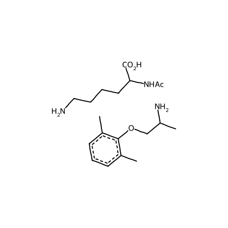 CC(=O)NC(CCCCN)C(=O)O.Cc1cccc(C)c1OCC(C)N